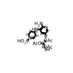 CC(=O)O[BH-](OC(C)=O)OC(C)=O.Nc1ncc(F)cc1NC1CCN(C(=O)O)CC1.[Na+]